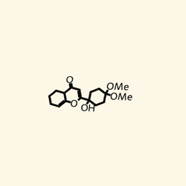 COC1(OC)CCC(O)(C2=CC(=O)C3CCCC=C3O2)CC1